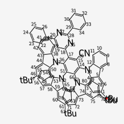 CC(C)(C)c1ccc2c(c1)c1ccccc1n2-c1c(C#N)c(-c2cc(-c3ccccc3)nc(-c3ccccc3)n2)c(-n2c3ccccc3c3cc(C(C)(C)C)ccc32)c(-n2c3ccccc3c3cc(C(C)(C)C)ccc32)c1-n1c2ccccc2c2cc(C(C)(C)C)ccc21